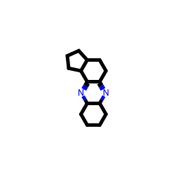 C1CCC2N=C3C(=NC2C1)CCC1CCCC31